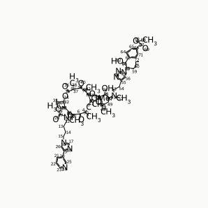 CO[C@]1(C)C[C@@H](C)C(=O)[C@H](C)[C@H]2N(CCCCn3cnc(-c4cccnc4)c3)C(=O)O[C@]2(C)[C@@H](I)OC(=O)[C@H](C)C(=O)[C@H](C)[C@H]1O[C@@H]1O[C@H](C)C[C@H](N(C)CCc2cn([C@H](CF)[C@H](O)c3ccc(S(C)(=O)=O)cc3)nn2)[C@H]1O